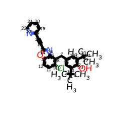 CC(C)(C)c1cc(Cc2c(Cl)ccc3oc(C#Cc4ccccn4)nc23)cc(C(C)(C)C)c1O